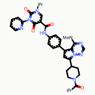 CNc1ncnn2c(C3CCN(C(=O)C(C)C)CC3)cc(-c3ccc(NC(=O)c4cn(C(C)C)c(=O)n(-c5ccccn5)c4=O)cc3)c12